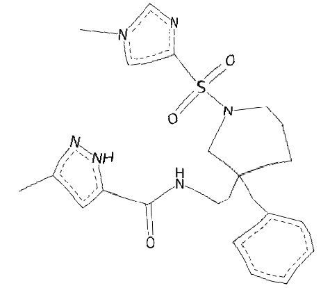 Cc1cc(C(=O)NCC2(c3ccccc3)CCCN(S(=O)(=O)c3cn(C)cn3)C2)[nH]n1